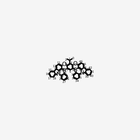 CC(C)c1c2c(cc3c1Oc1ccc4c5ccccc5n5c4c1B3c1ccccc1-5)B1c3ccccc3-n3c4ccccc4c4ccc(c1c43)O2